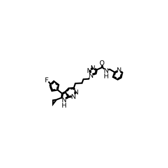 O=C(NCc1ccccn1)c1cn(CCCCc2cc3c(-c4ccc(F)cc4)c(C4CC4)[nH]c3nn2)nn1